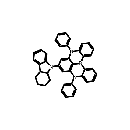 c1ccc(N2c3ccccc3B3c4ccccc4N(c4ccccc4)c4cc(N5c6ccccc6C6CCCCC65)cc2c43)cc1